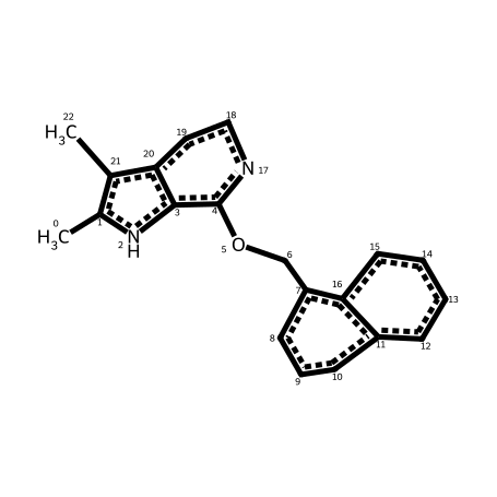 Cc1[nH]c2c(OCc3cccc4ccccc34)nccc2c1C